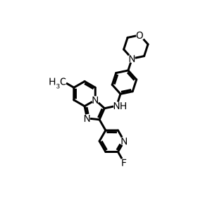 Cc1ccn2c(Nc3ccc(N4CCOCC4)cc3)c(-c3ccc(F)nc3)nc2c1